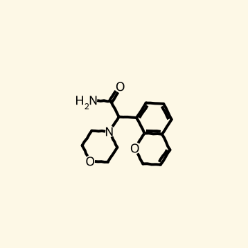 NC(=O)C(c1cccc2c1OCC=C2)N1CCOCC1